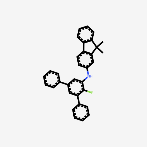 CC1(C)c2ccccc2-c2ccc(Nc3cc(-c4ccccc4)cc(-c4ccccc4)c3F)cc21